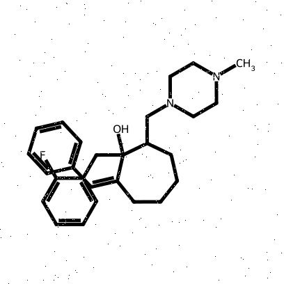 CN1CCN(CC2CCCCC(=Cc3ccccc3)C2(O)Cc2ccccc2F)CC1